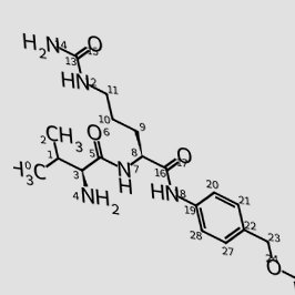 CC(C)[C@H](N)C(=O)N[C@@H](CCCNC(N)=O)C(=O)Nc1ccc(CO[C]=O)cc1